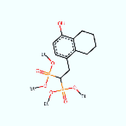 CCOP(=O)(OCC)C(Cc1ccc(O)c2c1CCCC2)P(=O)(OCC)OCC